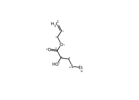 C=CCOC(=O)C(O)CSCC